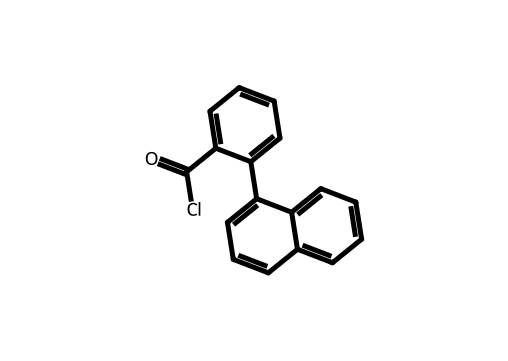 O=C(Cl)c1ccccc1-c1cccc2ccccc12